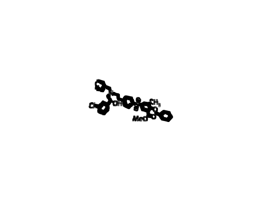 COC(=O)c1cc(S(=O)(=O)c2ccc(CCN(Cc3ccccc3)C[C@@H](O)c3cccc(Cl)c3)cc2)cc(C)c1OCc1ccccc1